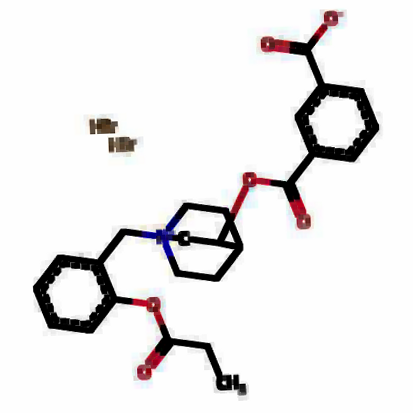 Br.Br.CCC(=O)Oc1ccccc1C[N+]12CCC(CC1)C(OC(=O)c1cccc(C(=O)[O-])c1)C2